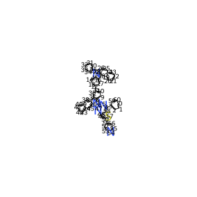 c1ccc(-c2nc(-n3c4ccc(-c5ccc6c(c5)c5c7ccccc7ccc5n6-c5ccccc5)cc4c4cc5ccccc5cc43)nc3cc(-c4ccncc4)sc23)cc1